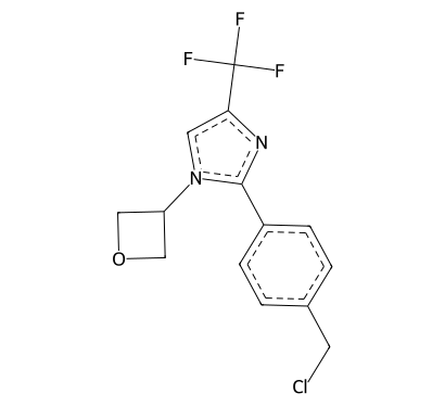 FC(F)(F)c1cn(C2COC2)c(-c2ccc(CCl)cc2)n1